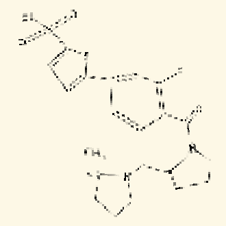 CCS(=O)(=O)c1ccc(-c2ccc(C(=O)N3CCCC3CN3CCC[C@@H]3C)c(F)c2)s1